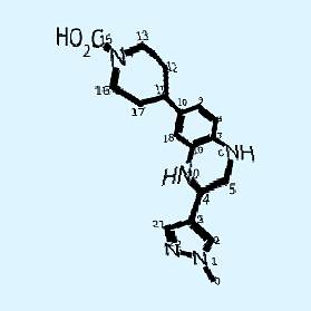 Cn1cc(C2CNc3ccc(C4CCN(C(=O)O)CC4)cc3N2)cn1